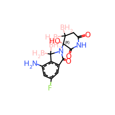 BC1(B)c2c(N)cc(F)cc2C(=O)N1[C@]1(O)C(=O)NC(=O)CC1(B)B